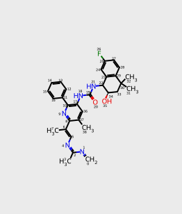 C=N/C(C)=N\C=C(/C)c1nc(-c2ccccc2)c(NC(=O)NC2c3cc(F)ccc3C(C)(C)C[C@H]2O)cc1C